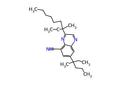 CCCCCCC(C)(CC)c1cnc2cc(C(C)(CC)CCC)cc(C#N)c2n1